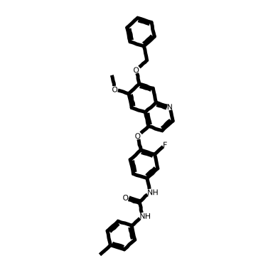 COc1cc2c(Oc3ccc(NC(=O)Nc4ccc(C)cc4)cc3F)ccnc2cc1OCc1ccccc1